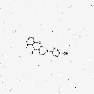 Cc1cccc(Cl)c1C(=O)N1CCN(c2ccc(O)cn2)CC1